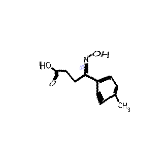 Cc1ccc(/C(CCC(=O)O)=N\O)cc1